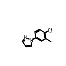 Cc1cc(-n2cccn2)ccc1Cl